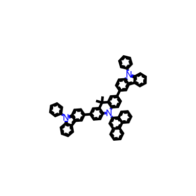 CC1(C)c2cc(-c3ccc4c(c3)c3ccccc3n4-c3ccccc3)ccc2N(c2cc3ccccc3c3ccccc23)c2ccc(-c3ccc4c(c3)c3ccccc3n4-c3ccccc3)cc21